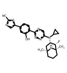 C[C@@]12CCC[C@@](C)(N1)[C@@H](F)[C@@H](N(c1cnc(-c3ccc(-c4cnc(C#N)s4)cc3O)nn1)C1CC1)C2